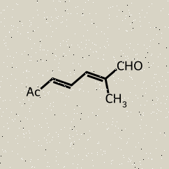 CC(=O)/C=C/C=C(\C)C=O